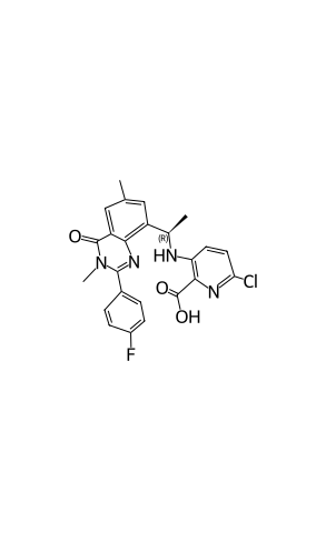 Cc1cc([C@@H](C)Nc2ccc(Cl)nc2C(=O)O)c2nc(-c3ccc(F)cc3)n(C)c(=O)c2c1